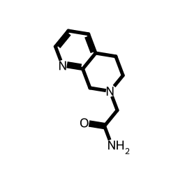 NC(=O)CN1CCc2cccnc2C1